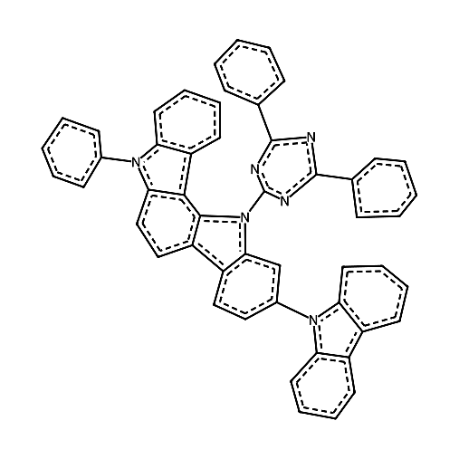 c1ccc(-c2nc(-c3ccccc3)nc(-n3c4cc(-n5c6ccccc6c6ccccc65)ccc4c4ccc5c(c6ccccc6n5-c5ccccc5)c43)n2)cc1